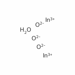 O.[In+3].[In+3].[O-2].[O-2].[O-2]